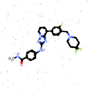 CNC(=O)c1ccc(Nc2nc3c(-c4ccc(CN5CCC(F)(F)CC5)c(F)c4)cccn3n2)cc1